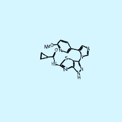 COc1ccc(-c2cncn2-c2n[nH]c3nc(NC(=O)C4CC4)sc23)cn1